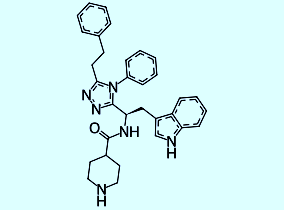 O=C(N[C@H](Cc1c[nH]c2ccccc12)c1nnc(CCc2ccccc2)n1-c1ccccc1)C1CCNCC1